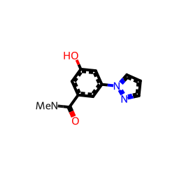 CNC(=O)c1cc(O)cc(-n2cccn2)c1